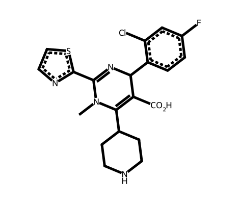 CN1C(c2nccs2)=NC(c2ccc(F)cc2Cl)C(C(=O)O)=C1C1CCNCC1